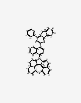 c1ccc(-c2nc(-c3ccc(-n4c5ccc6cccc7oc8cccc9ccc4c(c98)c5c67)c4ccccc34)nc3c2oc2ccccc23)cc1